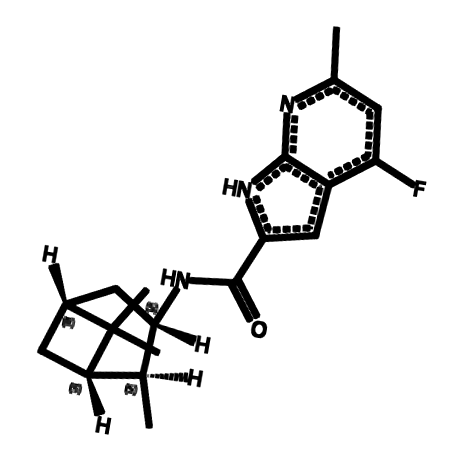 Cc1cc(F)c2cc(C(=O)N[C@H]3C[C@H]4C[C@@H]([C@@H]3C)C4(C)C)[nH]c2n1